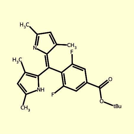 CC1=CC(C)=N/C1=C(\c1[nH]c(C)cc1C)c1c(F)cc(C(=O)OC(C)(C)C)cc1F